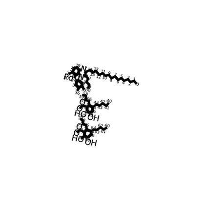 CCCCCCCCCCCCCCC=CC(=Nc1ccc(C)c(C)c1)C(CCCC)=Nc1ccc(C)c(C)c1.CCCCCc1cc(O)c(O)c(C(=O)[O-])c1CCCC.CCCCCc1cc(O)c(O)c(C(=O)[O-])c1CCCC.[Pd+2]